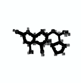 CCc1cc(=O)oc2nc(OC(C)c3nccs3)[nH]c(=O)c12